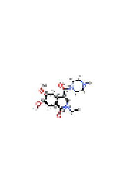 CCn1cc(C(=O)N2CCN(C)CC2)c2cc(OC)c(OC)cc2c1=O